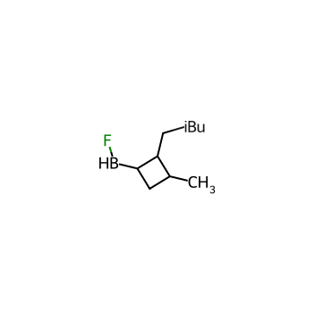 CCC(C)CC1C(C)CC1BF